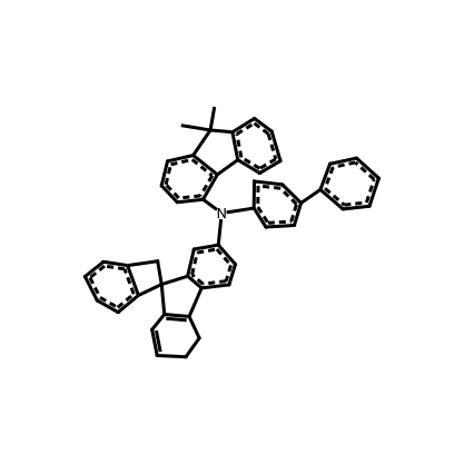 CC1(C)c2ccccc2-c2c(N(c3ccc(-c4ccccc4)cc3)c3ccc4c(c3)C3(Cc5ccccc53)C3=C4CCC=C3)cccc21